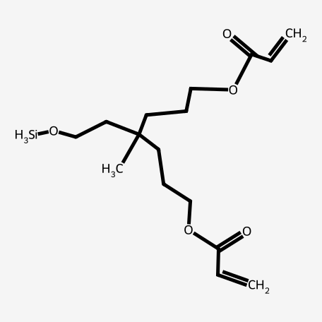 C=CC(=O)OCCCC(C)(CCCOC(=O)C=C)CCO[SiH3]